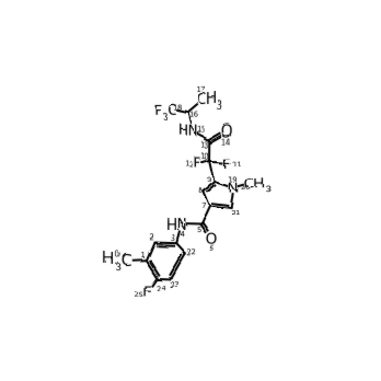 Cc1cc(NC(=O)c2cc(C(F)(F)C(=O)NC(C)C(F)(F)F)n(C)c2)ccc1F